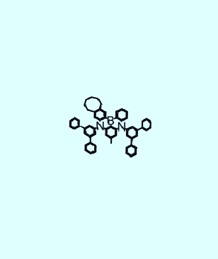 Cc1cc2c3c(c1)N(c1cc(-c4ccccc4)cc(-c4ccccc4)c1)c1cc4c(cc1B3c1ccccc1N2c1cc(-c2ccccc2)cc(-c2ccccc2)c1)CCCCCC4